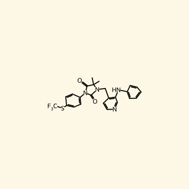 CC1(C)C(=O)N(c2ccc(SC(F)(F)F)cc2)C(=O)N1Cc1ccncc1Nc1ccccc1